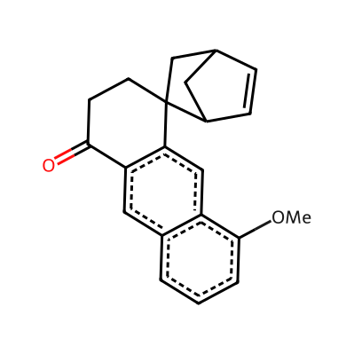 COc1cccc2cc3c(cc12)C1(CCC3=O)CC2C=CC1C2